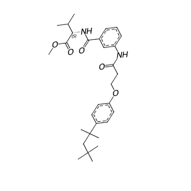 COC(=O)[C@@H](NC(=O)c1cccc(NC(=O)CCOc2ccc(C(C)(C)CC(C)(C)C)cc2)c1)C(C)C